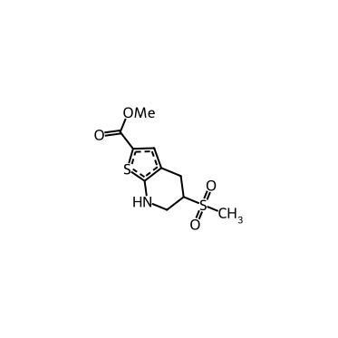 COC(=O)c1cc2c(s1)NCC(S(C)(=O)=O)C2